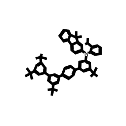 CC(C)c1ccccc1N(c1cc(-c2ccc(-c3cc(-c4cc(C(C)(C)C)cc(C(C)(C)C)c4)cc(C(C)(C)C)c3)cc2)cc(C(C)(C)C)c1)c1ccc2c(c1)C(C)(C)c1ccccc1-2